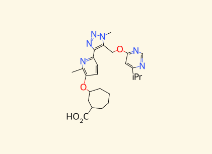 Cc1nc(-c2nnn(C)c2COc2cc(C(C)C)ncn2)ccc1OC1CCCCC(C(=O)O)C1